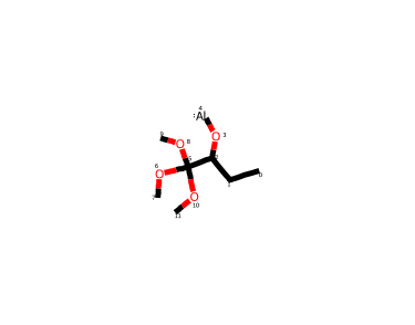 CCC([O][Al])C(OC)(OC)OC